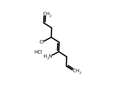 C=CCC(N)=CC(Cl)CC=C.Cl